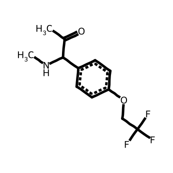 CNC(C(C)=O)c1ccc(OCC(F)(F)F)cc1